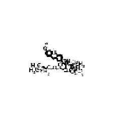 COc1ccc(Cc2cc([C@]3(O)O[C@H](COCOCC[Si](C)(C)C)C[C@@H]4OC(C)(OC)C(C)(OC)O[C@H]43)ccc2Cl)cc1